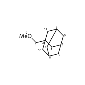 [CH2]OCC12CC3CC(CC(C3)C1)C2